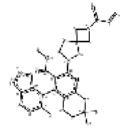 C=CC(=O)N1CC2(CCN(c3nc4c(c(-c5c(C)ccc6[nH]ncc56)c3C(=O)OC)CCC(C)(C)C4)C2)C1